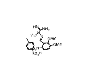 COc1ccc([N+](=O)[O-])c(C=NN(O)C(=N)N)c1OC.Cc1ccc(S(=O)(=O)O)cc1